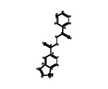 O=C(CCC(=O)c1ccc2[nH]cnc2c1)c1cccnc1